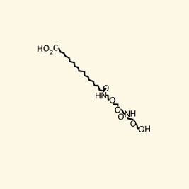 O=C(O)CCCCCCCCCCCCCCCCCCC(=O)NCCOCCOCC(=O)NCCOCCO